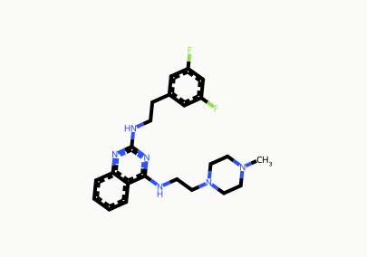 CN1CCN(CCNc2nc(NCCc3cc(F)cc(F)c3)nc3ccccc23)CC1